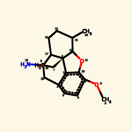 CC[C@@]12c3c4ccc(OC)c3OC1C(C)CCC2C(N)C4